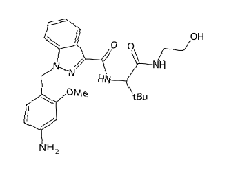 COc1cc(N)ccc1Cn1nc(C(=O)NC(C(=O)NCCO)C(C)(C)C)c2ccccc21